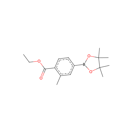 CCOC(=O)c1ccc(B2OC(C)(C)C(C)(C)O2)cc1C